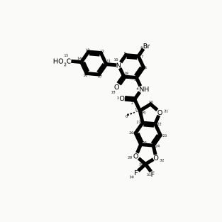 C[C@]1(C(=O)Nc2cc(Br)cn(-c3ccc(C(=O)O)cc3)c2=O)COc2cc3c(cc21)OC(F)(F)O3